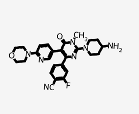 Cn1c(N2CCC(N)CC2)nc(-c2ccc(C#N)c(F)c2)c(-c2ccc(N3CCOCC3)nc2)c1=O